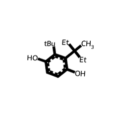 CCC(C)(CC)c1c(O)ccc(O)c1C(C)(C)C